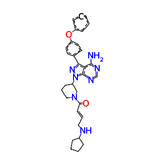 Nc1ncnc2c1c(-c1ccc(Oc3ccccc3)cc1)nn2C1CCCN(C(=O)C=CCNC2CCCC2)C1